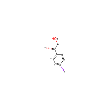 O=C(CO)c1ccc(I)cc1